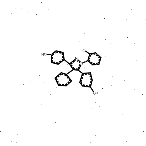 Oc1ccc(-c2nn(-c3ccccc3Cl)c(-c3ccc(O)cc3)c2-c2ccccc2)cc1